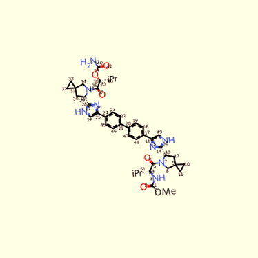 COC(=O)N[C@@H](C(=O)N1CC2(CC2)C[C@H]1c1nc(-c2ccc(-c3ccc(-c4c[nH]c([C@@H]5CC6(CC6)CN5C(=O)[C@H](OC(N)=O)C(C)C)n4)cc3)cc2)c[nH]1)C(C)C